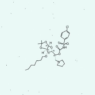 CCCCCCCO[C@@H]1[C@H]2OC(C)(C)O[C@H]2O[C@@H]1[C@@H](CN1CCCC1)OC(=O)NS(=O)(=O)c1ccc(Cl)cc1